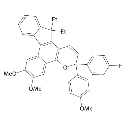 CCC1(CC)c2ccccc2-c2c1c1c(c3cc(OC)c(OC)cc23)OC(c2ccc(F)cc2)(c2ccc(OC)cc2)C=C1